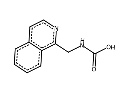 O=C(O)NCc1nccc2ccccc12